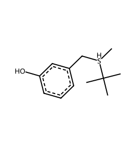 C[SH](Cc1cccc(O)c1)C(C)(C)C